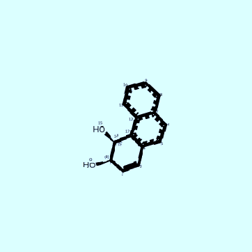 O[C@@H]1C=Cc2ccc3ccccc3c2[C@@H]1O